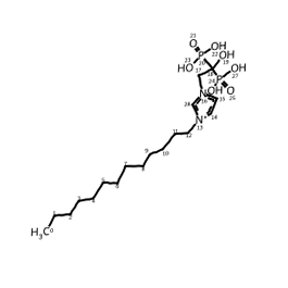 CCCCCCCCCCCCC[n+]1ccn(CC(O)(P(=O)(O)O)P(=O)(O)O)c1